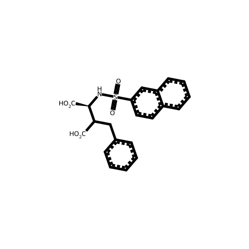 O=C(O)C(Cc1ccccc1)[C@H](NS(=O)(=O)c1ccc2ccccc2c1)C(=O)O